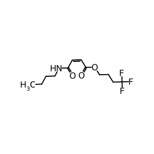 CCCCNC(=O)/C=C\C(=O)OCCCC(F)(F)F